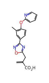 C=C(Cc1nc(-c2ccc(Oc3ccccn3)c(C)c2)no1)C(=O)O